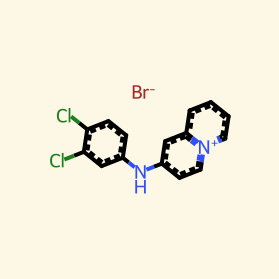 Clc1ccc(Nc2cc[n+]3ccccc3c2)cc1Cl.[Br-]